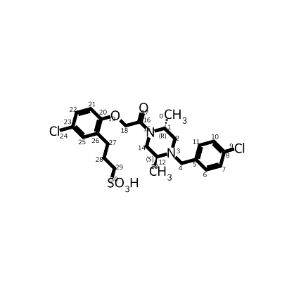 C[C@@H]1CN(Cc2ccc(Cl)cc2)[C@@H](C)CN1C(=O)COc1ccc(Cl)cc1CCCS(=O)(=O)O